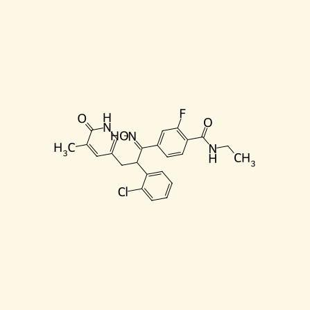 CCNC(=O)c1ccc(/C(=N/O)C(Cc2c[nH]c(=O)c(C)c2)c2ccccc2Cl)cc1F